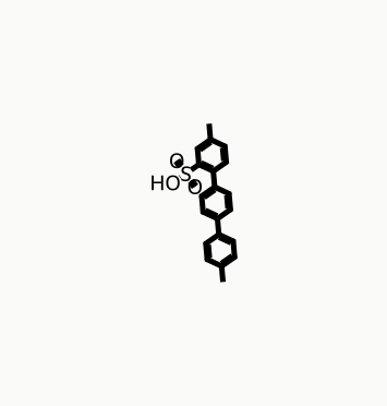 Cc1ccc(-c2ccc(-c3ccc(C)cc3S(=O)(=O)O)cc2)cc1